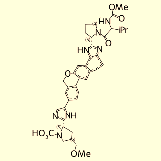 COC[C@H]1C[C@@H](c2ncc(-c3ccc4c(c3)COc3cc5c(ccc6nc([C@@H]7CC[C@H](C)N7C(=O)C(NC(=O)OC)C(C)C)[nH]c65)cc3-4)[nH]2)N(C(=O)O)C1